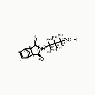 O=C1NC(=O)C2C3C=CC(C3)C12.O=S(=O)(O)C(F)(F)C(F)(F)C(F)(F)C(F)(F)F